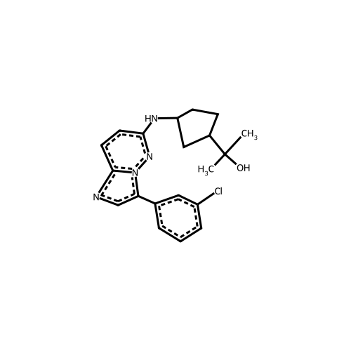 CC(C)(O)C1CCC(Nc2ccc3ncc(-c4cccc(Cl)c4)n3n2)C1